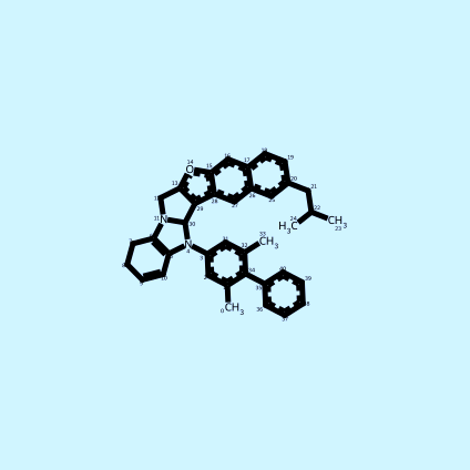 Cc1cc(N2C3=C(CCC=C3)N3Cc4oc5cc6ccc(CC(C)C)cc6cc5c4C32)cc(C)c1-c1ccccc1